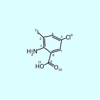 Nc1c(I)cc(Cl)cc1C(=O)O